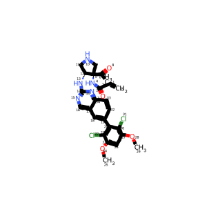 C=CC(=O)N[C@@]1(C(C)=O)CNC[C@H]1Nc1ncc2cc(-c3c(Cl)c(OC)cc(OC)c3Cl)ccc2n1